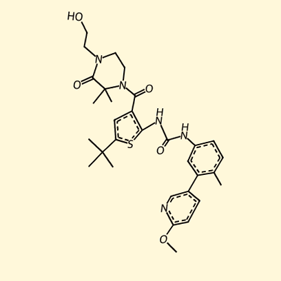 COc1ccc(-c2cc(NC(=O)Nc3sc(C(C)(C)C)cc3C(=O)N3CCN(CCO)C(=O)C3(C)C)ccc2C)cn1